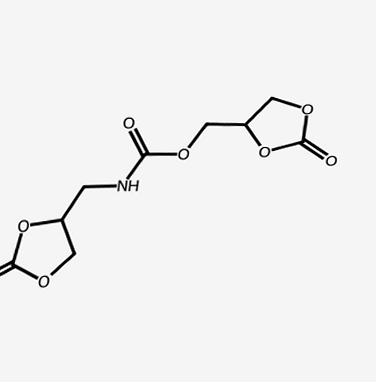 O=C(NCC1COC(=O)O1)OCC1COC(=O)O1